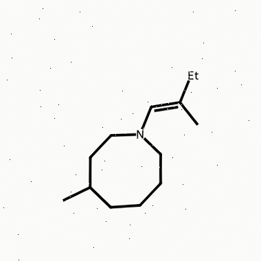 CC/C(C)=C/N1CCCCC(C)CC1